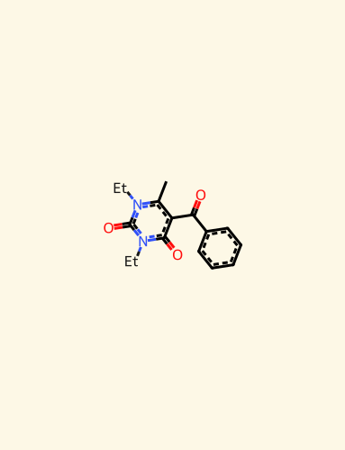 CCn1c(C)c(C(=O)c2ccccc2)c(=O)n(CC)c1=O